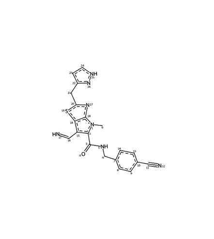 Cn1c(C(=O)NCc2ccc(C#N)cc2)c(C=N)c2sc(Cc3cc[nH]n3)nc21